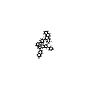 c1ccc(-c2ccc(N(c3cccc(-c4ccc5ccccc5c4)c3)c3cc(-c4cc5c6ccccc6ccc5c5ccccc45)ccc3-c3ccccc3)cc2)cc1